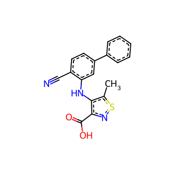 Cc1snc(C(=O)O)c1Nc1cc(-c2ccccc2)ccc1C#N